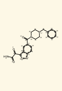 NC(=O)C(=O)c1onc2ccc(C(=O)N3CCN(Cc4ccccc4)CC3)cc12